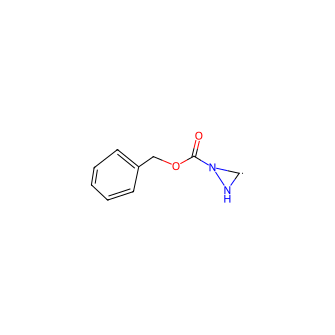 O=C(OCc1ccccc1)N1[CH]N1